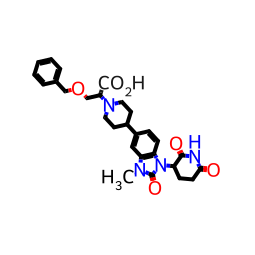 Cn1c(=O)n(C2CCC(=O)NC2=O)c2ccc(C3CCN(C(COCc4ccccc4)C(=O)O)CC3)cc21